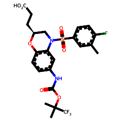 Cc1cc(S(=O)(=O)N2C[C@H](CCC(=O)O)Oc3ccc(NC(=O)OC(C)(C)C(F)(F)F)cc32)ccc1F